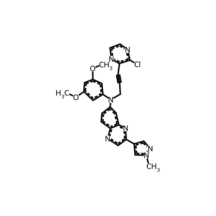 COc1cc(OC)cc(N(CC#Cc2nccnc2Cl)c2ccc3ncc(-c4cnn(C)c4)nc3c2)c1